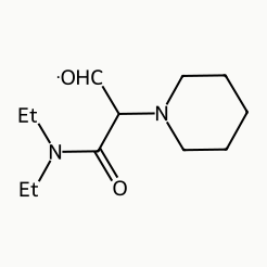 CCN(CC)C(=O)C([C]=O)N1CCCCC1